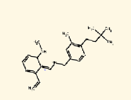 C=CC1=NC=CC(NC)/C1=C\NCc1cnc(CCC(C)(C)C)c(C)c1